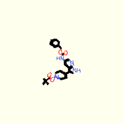 CC(C)(C)C(=O)ON1CC=C(c2c[nH]c3ncc(NC(=O)OCc4ccccc4)cc23)CC1